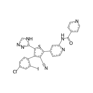 N#Cc1c(-c2ccnc(NC(=O)c3ccncc3)c2)sc(-c2nnc[nH]2)c1-c1ccc(Cl)cc1I